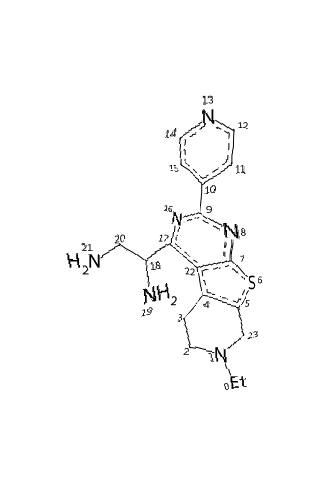 CCN1CCc2c(sc3nc(-c4ccncc4)nc(C(N)CN)c23)C1